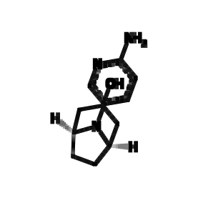 Nc1ccc(N2[C@@H]3CC[C@H]2CC(O)C3)cn1